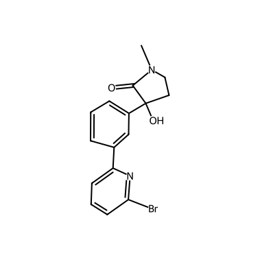 CN1CCC(O)(c2cccc(-c3cccc(Br)n3)c2)C1=O